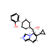 Oc1ccccc1[C@H]1CC[C@H]([C@H](O)c2c(C3CC3)ccc3cncn23)CC1